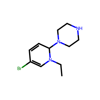 CCN1C=C(Br)C=CC1N1CCNCC1